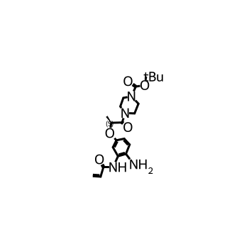 C=CC(=O)Nc1cc(O[C@@H](C)C(=O)N2CCN(C(=O)OC(C)(C)C)CC2)ccc1N